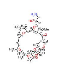 C=C1C[C@H]2OC1CC[C@H]1C[C@@H](C)C(=C)C(C[C@@H]3O[C@H](C[C@H](O)CN)[C@H](OC)C3CC(=O)C[C@H]3CC[C@@H]4O[C@@]5(C)C6O[C@@]7(CC6O[C@H]5[C@@H](O7)[C@H]4O3)CC2C)O1